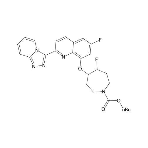 CCCCOC(=O)N1CCC(F)C(Oc2cc(F)cc3ccc(-c4nnc5ccccn45)nc23)CC1